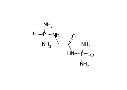 NP(N)(=O)NCC(=O)NP(N)(N)=O